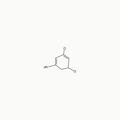 CCCC1=CC(Cl)=CC(Cl)C1